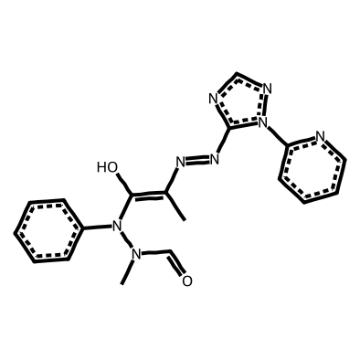 C/C(N=Nc1ncnn1-c1ccccn1)=C(/O)N(c1ccccc1)N(C)C=O